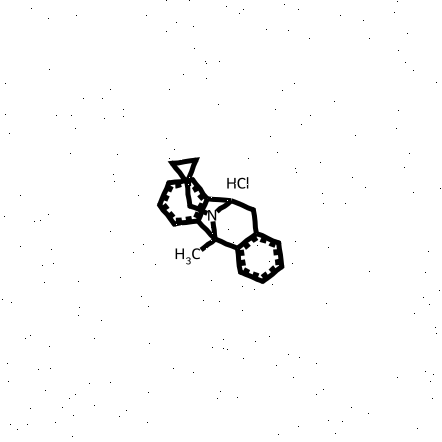 CC12c3ccccc3CC(c3ccccc31)N2CC1CC1.Cl